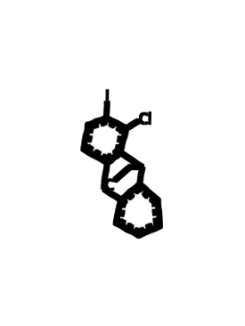 Clc1c(I)ccc2c1C1CCC2c2ccccc21